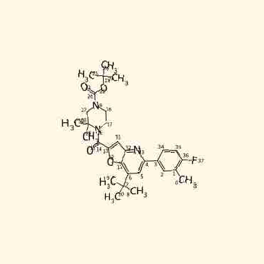 Cc1cc(-c2cc(C(C)(C)C)c3oc(C(=O)N4CCN(C(=O)OC(C)(C)C)CC4(C)C)cc3n2)ccc1F